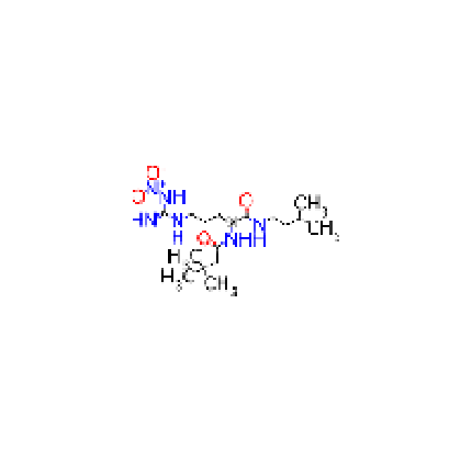 CC(C)CCNC(=O)[C@H](CCCNC(=N)N[N+](=O)[O-])NC(=O)CC(C)(C)C